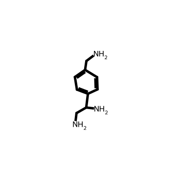 NCc1ccc(C(N)CN)cc1